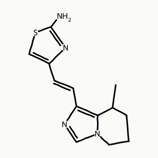 CC1CCCn2cnc(C=Cc3csc(N)n3)c21